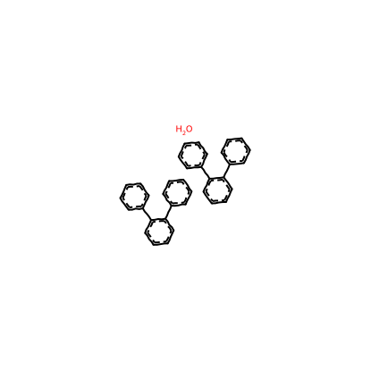 O.c1ccc(-c2ccccc2-c2ccccc2)cc1.c1ccc(-c2ccccc2-c2ccccc2)cc1